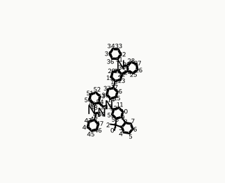 CC1(C)c2ccccc2-c2ccc(N(c3ccc(-c4ccc5c(c4)c4ccccc4n5-c4ccccc4)cc3)c3nc(-c4ccccc4)nc4ccccc34)cc21